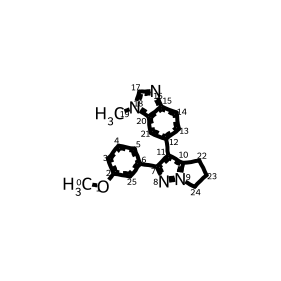 COc1cccc(-c2nn3c(c2-c2ccc4ncn(C)c4c2)CCC3)c1